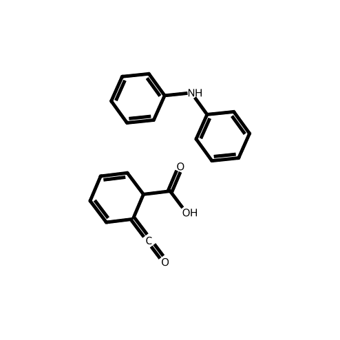 O=C=C1C=CC=CC1C(=O)O.c1ccc(Nc2ccccc2)cc1